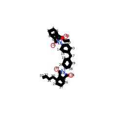 C=CCCC1C2C=CC1C1C(=O)N(c3ccc(Cc4ccc(N5C(=O)C6C7C=CC(CCC=C)(C7)C6C5=O)cc4)cc3)C(=O)C21